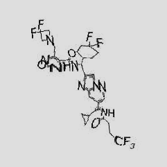 O=C(CCC(F)(F)F)N[C@@H](c1cnn2cc(C(NC(=O)c3nonc3CN3CC(F)(F)C3)C3CCC(F)(F)CC3)nc2c1)C1CC1